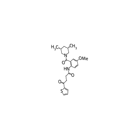 COc1ccc(NC(=O)CCC(=O)c2cccs2)c(C(=O)N2C[C@H](C)C[C@H](C)C2)c1